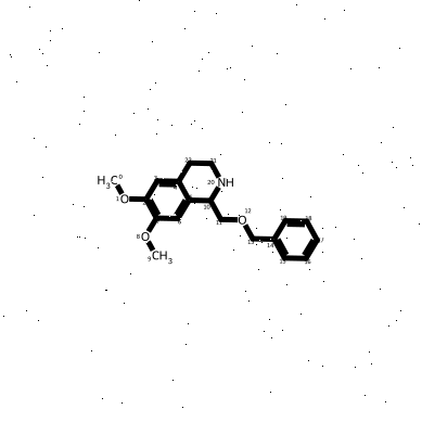 COc1cc2c(cc1OC)C(COCc1ccccc1)NCC2